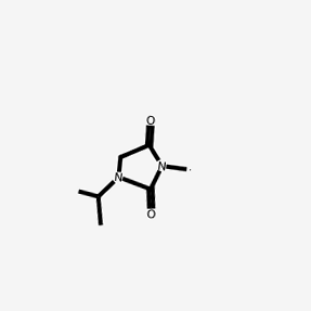 [CH2]N1C(=O)CN(C(C)C)C1=O